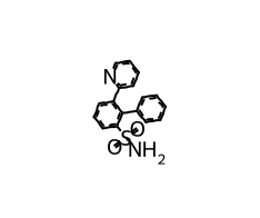 NS(=O)(=O)c1cccc(-c2ccccn2)c1-c1ccccc1